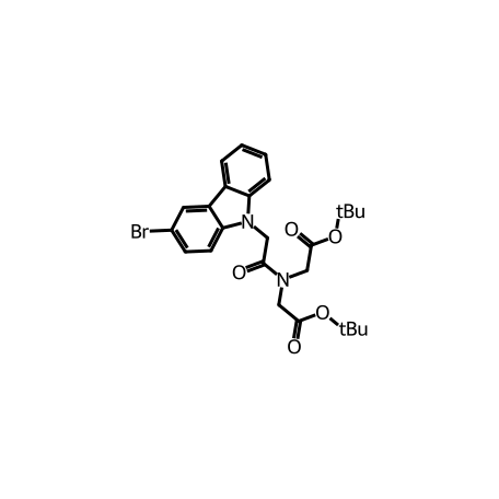 CC(C)(C)OC(=O)CN(CC(=O)OC(C)(C)C)C(=O)Cn1c2ccccc2c2cc(Br)ccc21